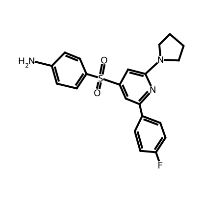 Nc1ccc(S(=O)(=O)c2cc(-c3ccc(F)cc3)nc(N3CCCC3)c2)cc1